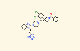 O=C(c1ccccc1)N1CCC(CCN2CCCN(c3nc4ccccc4n3CCc3nnn[nH]3)CC2)(c2ccc(Cl)c(Cl)c2)C1